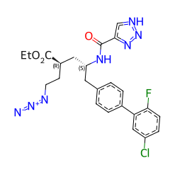 CCOC(=O)[C@H](CCN=[N+]=[N-])C[C@@H](Cc1ccc(-c2cc(Cl)ccc2F)cc1)NC(=O)c1c[nH]nn1